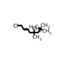 CC(C)(C)CC(C)(C)CC=CCCl